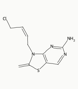 C=C1Sc2cnc(N)nc2N1C/C=C\CCl